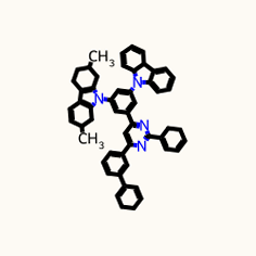 CC1C=Cc2c3c(n(-c4cc(-c5cc(-c6cccc(C7=CCCC=C7)c6)nc(C6=CC=CCC6)n5)cc(N5c6ccccc6C6C=CC=CC65)c4)c2C1)CC(C)CC3